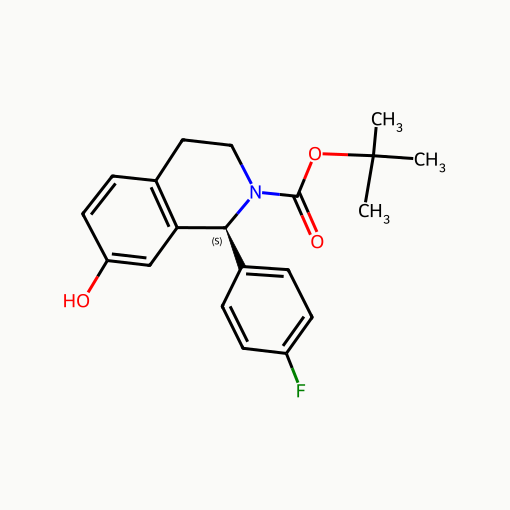 CC(C)(C)OC(=O)N1CCc2ccc(O)cc2[C@@H]1c1ccc(F)cc1